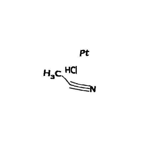 CC#N.Cl.[Pt]